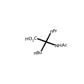 CCCCC(CCC)(NC(C)=O)C(=O)O